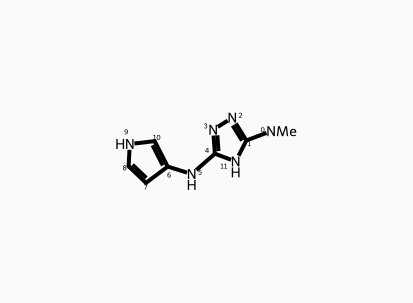 CNc1nnc(Nc2cc[nH]c2)[nH]1